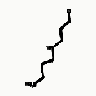 CCOCCNCCCS(=O)(=O)O